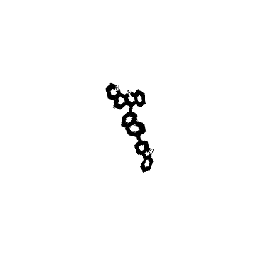 c1cnc2c(c1)ccc1c(-c3ccc4cc(-c5ccc6c(c5)oc5ccccc56)ccc4c3)c3ccccc3nc12